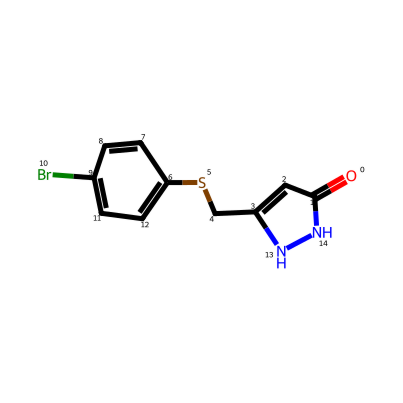 O=c1cc(CSc2ccc(Br)cc2)[nH][nH]1